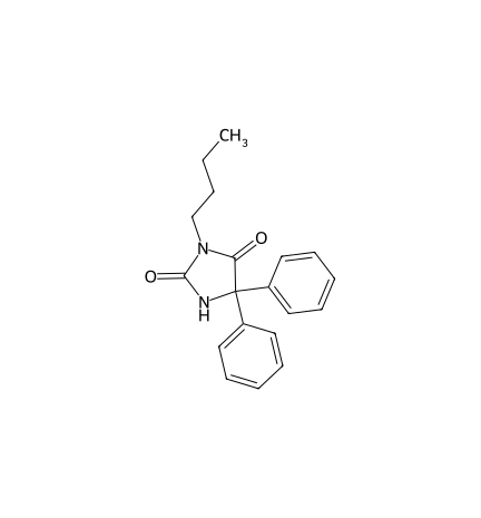 CCCCN1C(=O)NC(c2ccccc2)(c2ccccc2)C1=O